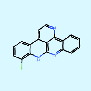 Fc1cccc2c1Nc1nc3ccccc3c3nccc-2c13